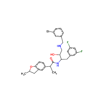 CCc1cccc(CNCC(O)C(Cc2cc(F)cc(F)c2)NC(=O)C(C)c2ccc3c(c2)CC(C)O3)c1